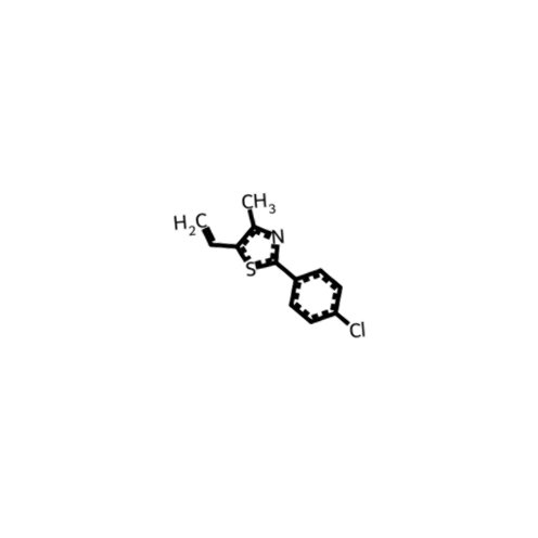 C=Cc1sc(-c2ccc(Cl)cc2)nc1C